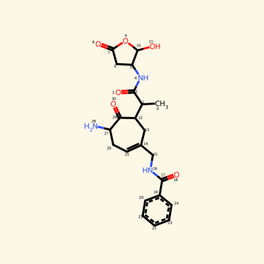 CC(C(=O)NC1CC(=O)OC1O)C1CC(CNC(=O)c2ccccc2)=CCC(N)C1=O